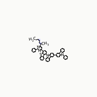 C=C/C=C\C=C(/C)c1cc(-c2ccc(-n3c4ccccc4c4cc(-c5ccc6c(c5)c5ccccc5n6-c5ccccc5)ccc43)c3c2sc2ccccc23)nc(-c2ccccc2)n1